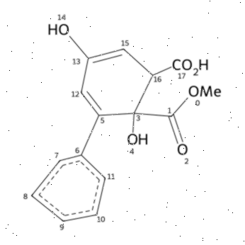 COC(=O)C1(O)C(c2ccccc2)=CC(O)=CC1C(=O)O